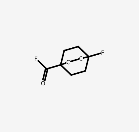 O=C(F)C12CCC(F)(CC1)CC2